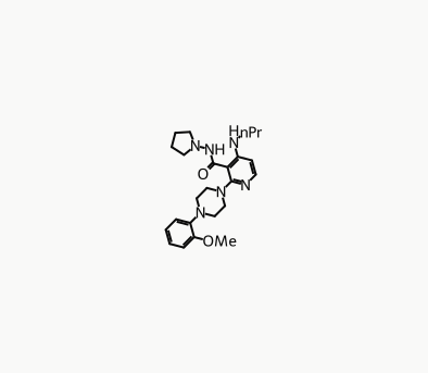 CCCNc1ccnc(N2CCN(c3ccccc3OC)CC2)c1C(=O)NN1CCCC1